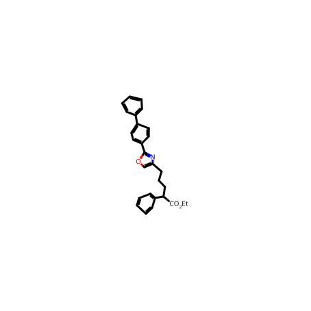 CCOC(=O)C(CCCc1coc(-c2ccc(-c3ccccc3)cc2)n1)c1ccccc1